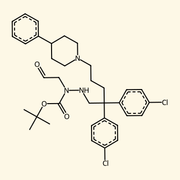 CC(C)(C)OC(=O)N(CC=O)NCC(CCCN1CCC(c2ccccc2)CC1)(c1ccc(Cl)cc1)c1ccc(Cl)cc1